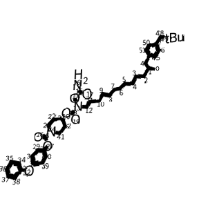 CC(CCCCCCCCCCCN(OC(N)=O)C(=O)OC1CCN(C(=O)Oc2ccc(Oc3ccccc3)cc2)CC1)Cc1ccc(CC(C)(C)C)cc1